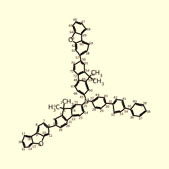 CC1(C)c2cc(-c3ccc4c(c3)oc3ccccc34)ccc2-c2ccc(N(c3ccc(-c4ccc(-c5ccccc5)cc4)cc3)c3ccc4c(c3)C(C)(C)c3cc(-c5ccc6c(c5)oc5ccccc56)ccc3-4)cc21